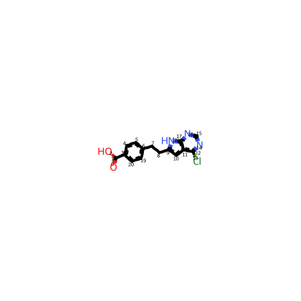 O=C(O)c1ccc(CCc2cc3c(Cl)ncnc3[nH]2)cc1